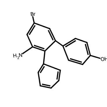 Nc1cc(Br)cc(-c2ccc(O)cc2)c1-c1ccccc1